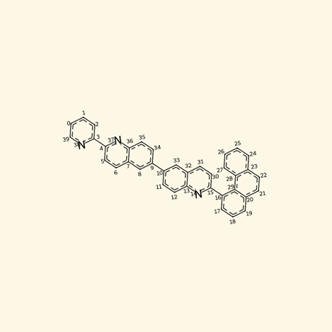 c1ccc(-c2ccc3cc(-c4ccc5nc(-c6cccc7ccc8ccccc8c67)ccc5c4)ccc3n2)nc1